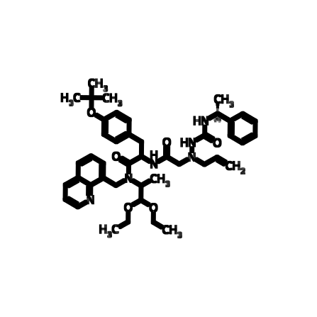 C=CCN(CC(=O)NC(Cc1ccc(OC(C)(C)C)cc1)C(=O)N(Cc1cccc2cccnc12)C(C)C(OCC)OCC)NC(=O)N[C@H](C)c1ccccc1